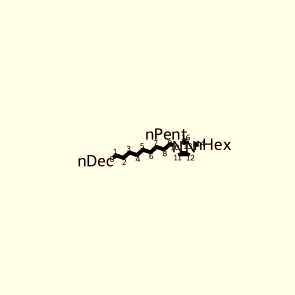 CCCCCCCCCCCCCCCCCCCN1C=CN(CCCCCC)C1CCCCC